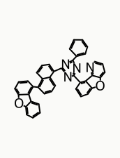 c1ccc(-c2nc(-c3cccc4c(-c5cccc6oc7ccccc7c56)cccc34)nc(-c3cccc4oc5cccnc5c34)n2)cc1